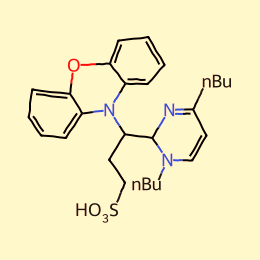 CCCCC1=NC(C(CCS(=O)(=O)O)N2c3ccccc3Oc3ccccc32)N(CCCC)C=C1